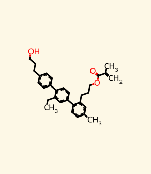 C=C(C)C(=O)OCCCc1cc(C)ccc1-c1ccc(-c2ccc(CCCO)cc2)c(CC)c1